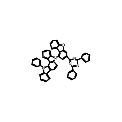 c1ccc(-c2nc(-c3ccccc3)nc(-c3cc(-n4c5ccccc5c5c4ccc4c6ccccc6n(-c6ccccc6)c45)c4c(c3)oc3ccccc34)n2)cc1